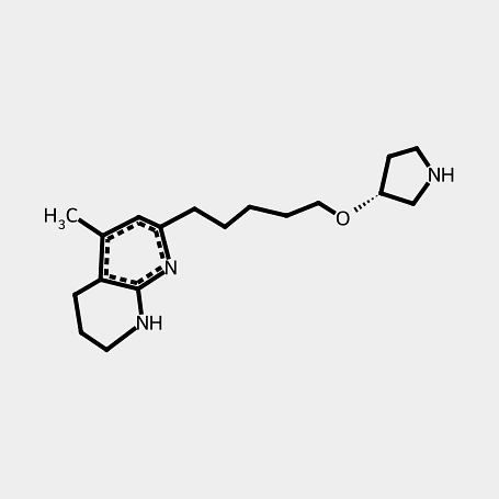 Cc1cc(CCCCCO[C@@H]2CCNC2)nc2c1CCCN2